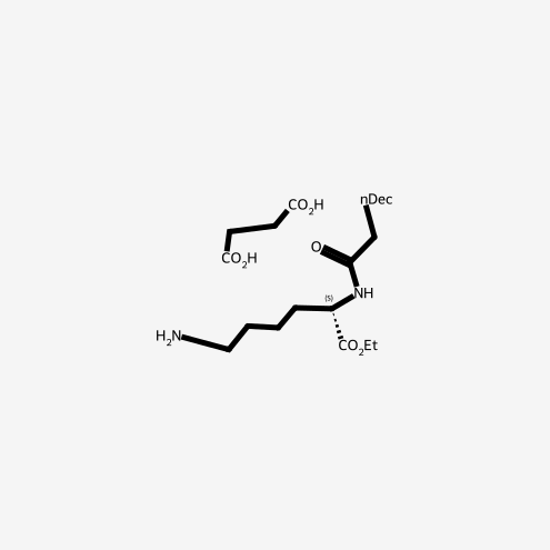 CCCCCCCCCCCC(=O)N[C@@H](CCCCN)C(=O)OCC.O=C(O)CCC(=O)O